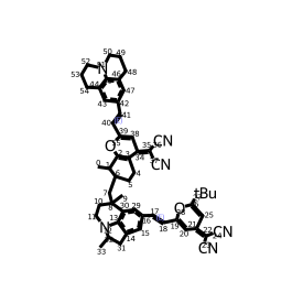 CC1C2=C(CCC1CC1(C)CCN3c4c(cc(/C=C/C5=CC(=C(C#N)C#N)C=C(C(C)(C)C)O5)cc41)CC3C)C(=C(C#N)C#N)C=C(/C=C/c1cc3c4c(c1)CCCN4CCC3)O2